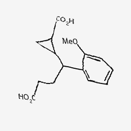 COc1ccccc1C(CCC(=O)O)C1CC1C(=O)O